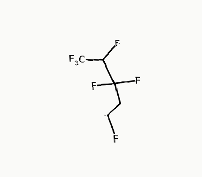 F[CH]CC(F)(F)C(F)C(F)(F)F